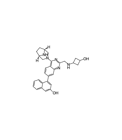 Oc1cc(-c2ccc3c(N4C[C@H]5CC[C@@H](C4)N5)nc(CNC4CC(O)C4)nc3c2)c2ccccc2c1